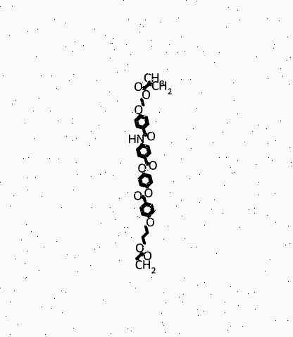 C=CC(=O)OCCCCOc1ccc(C(=O)Oc2ccc(OC(=O)c3ccc(NC(=O)c4ccc(OCCOC(=O)C(=C)C)cc4)cc3)cc2)cc1